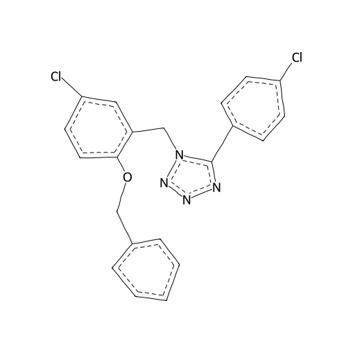 Clc1ccc(-c2nnnn2Cc2cc(Cl)ccc2OCc2ccccc2)cc1